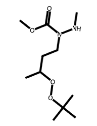 CNN(CCC(C)OOC(C)(C)C)C(=O)OC